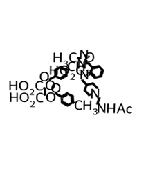 CC(=O)NCCN1CCC(CN(C(=O)O)c2ccccc2-c2nc(C)no2)CC1.Cc1ccc(C(=O)OC(C(=O)O)C(OC(=O)c2ccc(C)cc2)C(=O)O)cc1